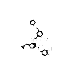 COc1ccc(COC2CC=CC2)cc1C(=O)N[C@H]1[C@@H](C(=O)Nc2ccc(F)c(C(F)(F)F)c2)[C@H]2CC(=CC3CC3)[C@H]1C2